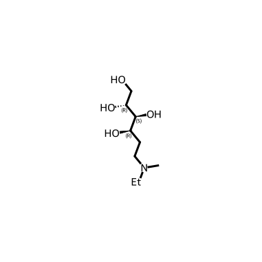 CCN(C)CC[C@@H](O)[C@H](O)[C@H](O)CO